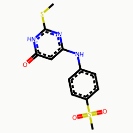 CSc1nc(Nc2ccc(S(C)(=O)=O)cc2)cc(=O)[nH]1